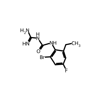 CCc1cc(F)cc(Br)c1NC(=O)NC(=N)N